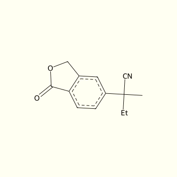 CCC(C)(C#N)c1ccc2c(c1)COC2=O